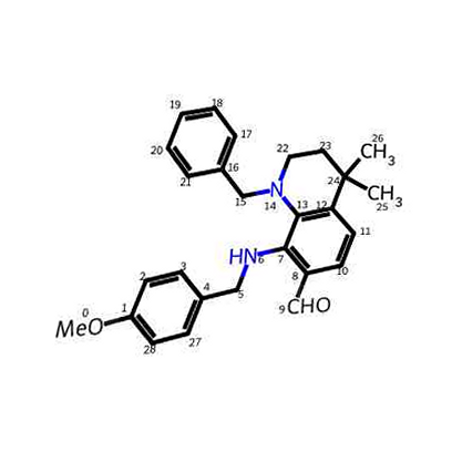 COc1ccc(CNc2c(C=O)ccc3c2N(Cc2ccccc2)CCC3(C)C)cc1